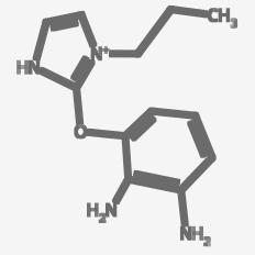 CCC[n+]1cc[nH]c1Oc1cccc(N)c1N